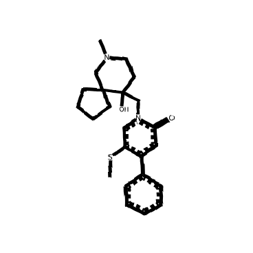 CSc1cn(CC2(O)CCN(C)CC23CCCC3)c(=O)cc1-c1ccccc1